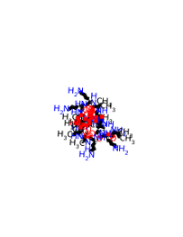 CC[C@H](C)[C@H](N)C(=O)N[C@@H](CCCCN)C(=O)N[C@@H](Cc1c[nH]c2ccccc12)C(=O)N[C@@H](CCCCN)C(=O)N[C@@H](C)C(=O)N[C@H](C(=O)N[C@@H](CC(C)C)C(=O)N[C@@H](CC(=O)O)C(=O)N[C@@H](C)C(=O)N[C@H](C(=O)N[C@@H](CCCCN)C(=O)N[C@@H](CCCCN)C(=O)N[C@H](C(=O)N[C@H](C(N)=O)[C@@H](C)CC)C(C)C)C(C)C)[C@@H](C)CC